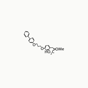 CO[C@@H](Cc1ccc(OCCCOc2ccc(-c3ccccc3)cc2)cc1)C(=O)O